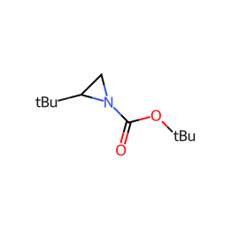 CC(C)(C)OC(=O)N1CC1C(C)(C)C